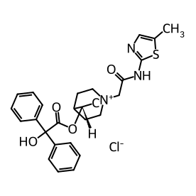 Cc1cnc(NC(=O)C[N+]23CCC(CC2)[C@@H](OC(=O)C(O)(c2ccccc2)c2ccccc2)C3)s1.[Cl-]